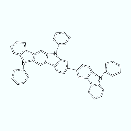 c1ccc(-n2c3ccccc3c3cc(-c4ccc5c6cc7c(cc6n(-c6ccccc6)c5c4)c4ccccc4n7-c4ccccc4)ccc32)cc1